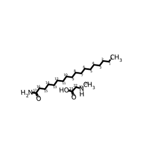 CCCCCCCCCCCCCCCCCC(N)=O.CNCC(=O)O